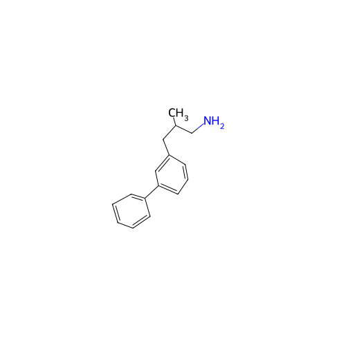 CC(CN)Cc1cccc(-c2ccccc2)c1